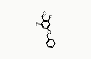 O=Cc1c(F)cc(OCC2=CC=CCC2)cc1F